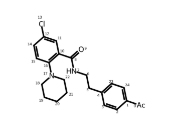 CC(=O)c1ccc(CCNC(=O)c2cc(Cl)ccc2N2CCCCC2)cc1